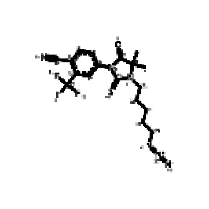 CC1(C)C(=O)N(c2ccc(C#N)c(C(F)(F)F)c2)C(=S)N1CCCCCN=[N+]=[N-]